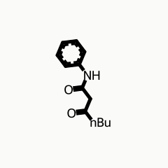 CCCCC(=O)CC(=O)Nc1ccccc1